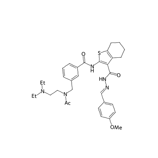 CCN(CC)CCN(Cc1cccc(C(=O)Nc2sc3c(c2C(=O)N/N=C/c2ccc(OC)cc2)CCCC3)c1)C(C)=O